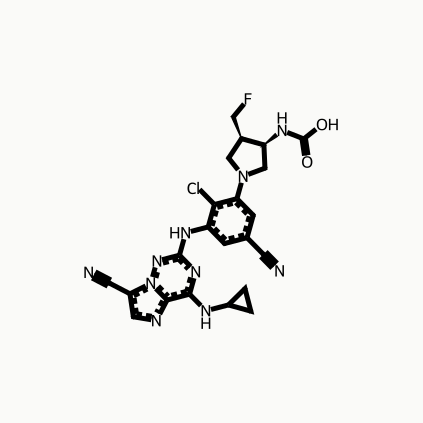 N#Cc1cc(Nc2nc(NC3CC3)c3ncc(C#N)n3n2)c(Cl)c(N2C[C@@H](CF)[C@@H](NC(=O)O)C2)c1